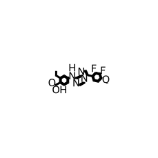 CCc1cc(Nc2nccn3c(-c4ccc(OC)c(F)c4F)cnc23)ccc1C(=O)O